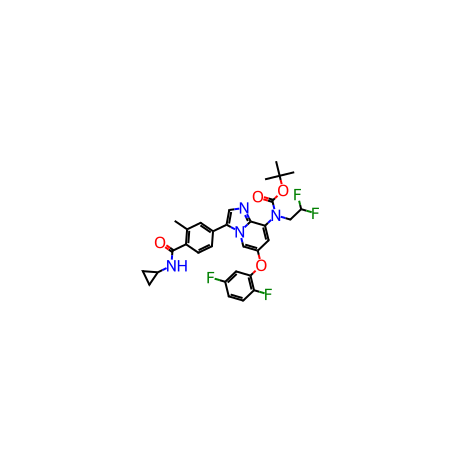 Cc1cc(-c2cnc3c(N(CC(F)F)C(=O)OC(C)(C)C)cc(Oc4cc(F)ccc4F)cn23)ccc1C(=O)NC1CC1